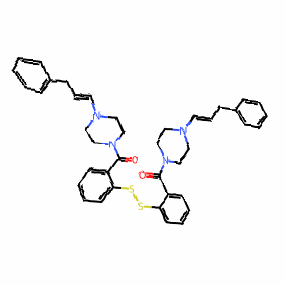 O=C(c1ccccc1SSc1ccccc1C(=O)N1CCN(C=CCc2ccccc2)CC1)N1CCN(C=CCc2ccccc2)CC1